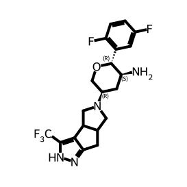 N[C@H]1C[C@@H](N2CC3Cc4n[nH]c(C(F)(F)F)c4C3C2)CO[C@@H]1c1cc(F)ccc1F